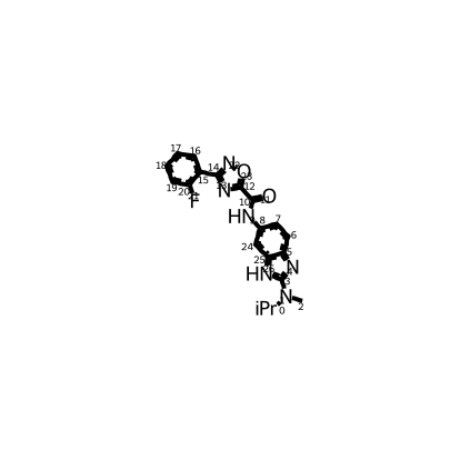 CC(C)N(C)c1nc2ccc(NC(=O)c3nc(-c4ccccc4F)no3)cc2[nH]1